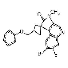 CN1C(=O)C2(CC(COc3ccccc3)C2)c2c1cnc1cc(F)c(Br)cc21